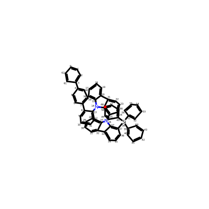 c1ccc(-c2ccc(-c3ccccc3-n3c4ccccc4c4cccc(-n5c6ccccc6c6cccc([Si](c7ccccc7)(c7ccccc7)c7ccccc7)c65)c43)cc2)cc1